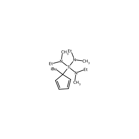 CCC(C)[C]1([Ti]([N](C)CC)([N](C)CC)[N](C)CC)C=CC=C1